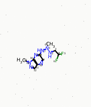 CN(NCC(F)F)Nc1cnc2cnn(C)c2n1